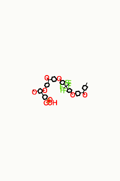 COc1ccc(Oc2ccc(C(=O)c3ccc(Oc4ccc(C(c5ccc(Oc6ccc(C(=O)c7ccc(C)cc7)cc6)cc5)(C(F)(F)F)C(F)(F)F)cc4)cc3)cc2)c(-c2ccc(S(=O)(=O)O)cc2)c1